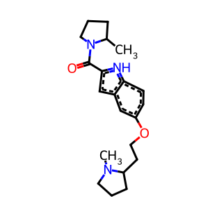 CC1CCCN1C(=O)c1cc2cc(OCCC3CCCN3C)ccc2[nH]1